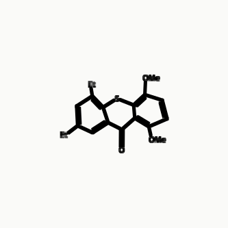 CCc1cc(CC)c2sc3c(OC)ccc(OC)c3c(=O)c2c1